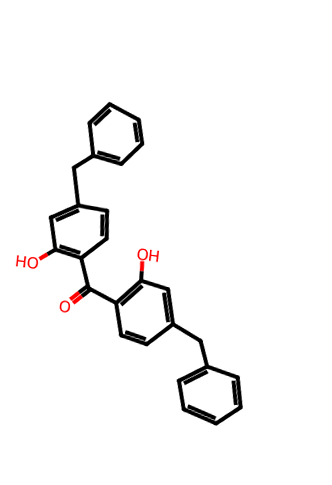 O=C(c1ccc(Cc2ccccc2)cc1O)c1ccc(Cc2ccccc2)cc1O